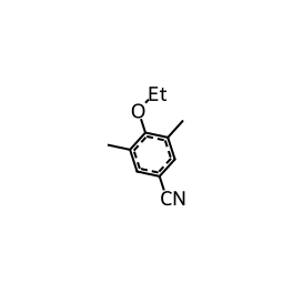 CCOc1c(C)cc(C#N)cc1C